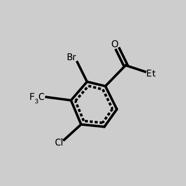 CCC(=O)c1ccc(Cl)c(C(F)(F)F)c1Br